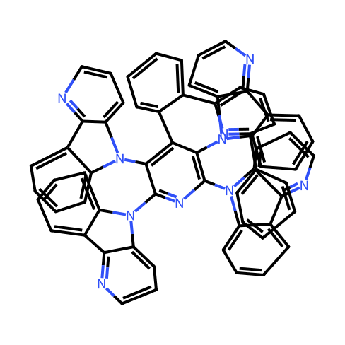 c1ccc(-c2cccc(-c3ccccc3-c3c(-n4c5ccccc5c5ncccc54)c(-n4c5ccccc5c5ncccc54)nc(-n4c5ccccc5c5ncccc54)c3-n3c4ccccc4c4ncccc43)n2)cc1